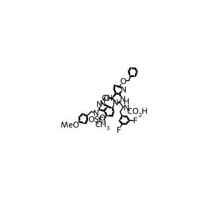 COc1ccc(CN(c2nn(C)c3c(-n4c(C(Cc5cc(F)cc(F)c5)NC(=O)O)nc5nc(OCc6ccccc6)ccc5c4=O)ccc(Cl)c23)S(C)(=O)=O)cc1